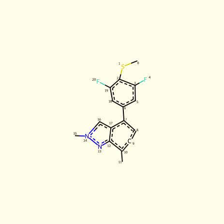 CSc1c(F)cc(-c2ccc(C)c3nn(C)cc23)cc1F